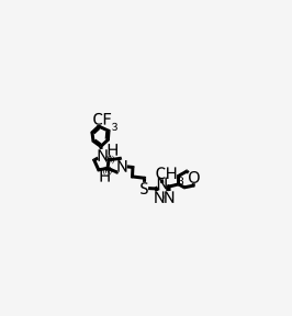 Cn1c(SCCCN2C[C@H]3CCN(c4ccc(C(F)(F)F)cc4)[C@H]3C2)nnc1C1CCOCC1